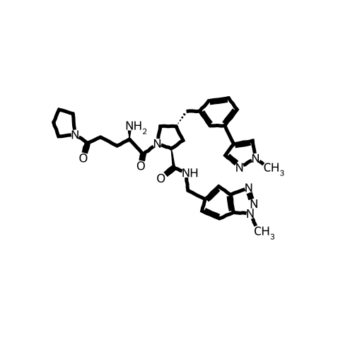 Cn1cc(-c2cccc(C[C@@H]3C[C@@H](C(=O)NCc4ccc5c(c4)nnn5C)N(C(=O)[C@H](N)CCC(=O)N4CCCC4)C3)c2)cn1